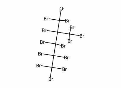 [O]C(Br)(Br)C(Br)(C(Br)(Br)Br)C(Br)(Br)C(Br)(Br)C(Br)(Br)Br